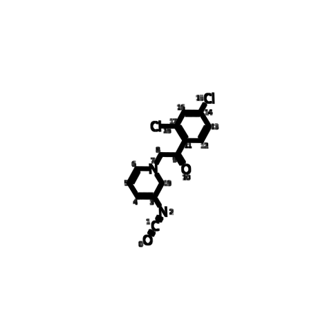 O=C=NC1=CC=CN(CC(=O)c2ccc(Cl)cc2Cl)C1